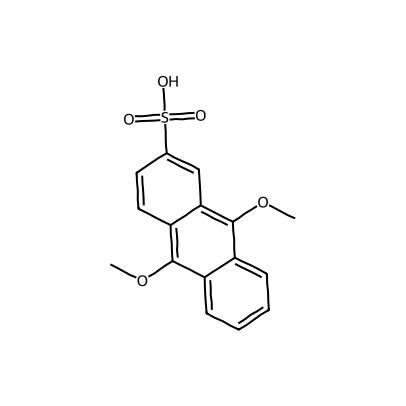 COc1c2ccccc2c(OC)c2cc(S(=O)(=O)O)ccc12